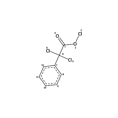 O=C(OCl)C(Cl)(Cl)c1ccccc1